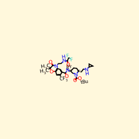 CC(C)N(C(=O)c1cc2c(cc1C(F)(F)F)OC(C)(C)C(=O)N2CCNC(=O)C(F)F)[C@@H]1CC[C@H](CCNC2CC2)N(C(=O)OC(C)(C)C)C1